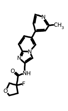 Cc1cc(-c2ccc3nc(NC(=O)C4(F)CCOC4)cn3c2)ccn1